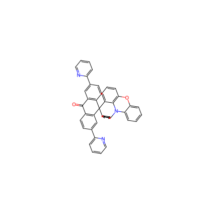 O=C1c2cc(-c3ccccn3)ccc2C2(c3cc(-c4ccccn4)ccc31)c1ccccc1N1c3ccccc3Oc3cccc2c31